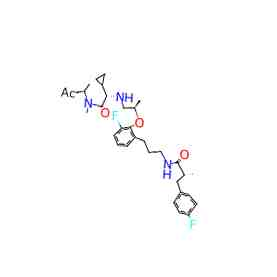 CC(=O)[C@@H](C)N(C)C(=O)[C@@H](NC[C@@H](C)Oc1c(F)cccc1CCCNC(=O)[C@H](C)Cc1ccc(F)cc1)C1CC1